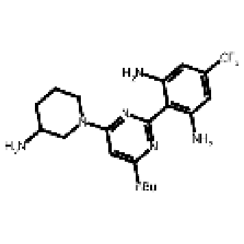 CCCCc1cc(N2CCCC(N)C2)nc(-c2c(N)cc(C(F)(F)F)cc2N)n1